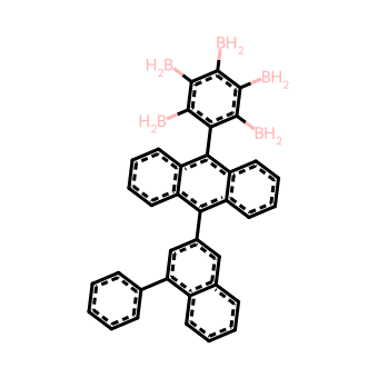 Bc1c(B)c(B)c(-c2c3ccccc3c(-c3cc(-c4ccccc4)c4ccccc4c3)c3ccccc23)c(B)c1B